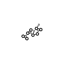 N#Cc1c(-c2cccc(-n3c4ccccc4c4c(C#N)cccc43)c2)cccc1-n1c2ccccc2c2ccc(-n3c4ccccc4c4ccccc43)cc21